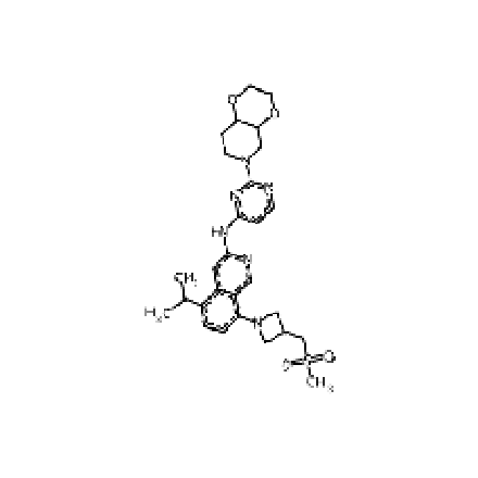 CC(C)c1ccc(N2CC(CS(C)(=O)=O)C2)c2cnc(Nc3ccnc(N4CCC5OCCOC5C4)n3)cc12